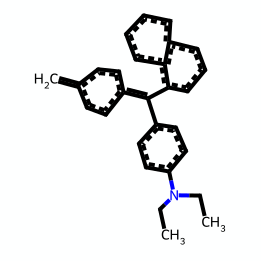 C=c1ccc(=C(c2ccc(N(CC)CC)cc2)c2cccc3ccccc23)cc1